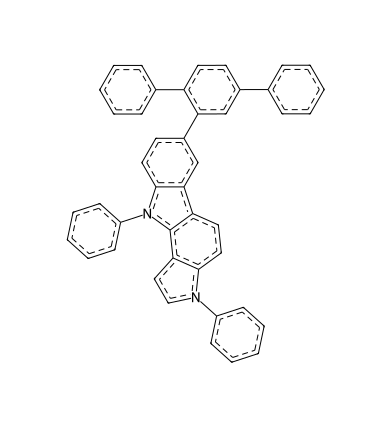 c1ccc(-c2ccc(-c3ccccc3)c(-c3ccc4c(c3)c3ccc5c(ccn5-c5ccccc5)c3n4-c3ccccc3)c2)cc1